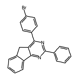 Brc1ccc(-c2nc(-c3ccccc3)nc3c2Cc2ccccc2-3)cc1